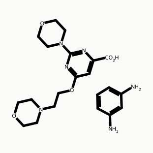 Nc1cccc(N)c1.O=C(O)c1cc(OCCN2CCOCC2)nc(N2CCOCC2)n1